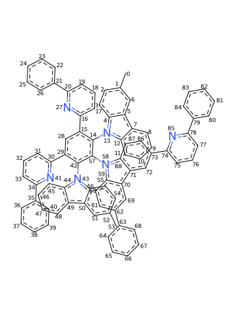 Cc1ccc2c(c1)c1ccccc1n2-c1c(-c2cccc(-c3ccccc3)n2)cc(-c2cccc(-c3ccccc3)n2)c(-n2c3ccccc3c3cc(C)ccc32)c1-n1c2ccc(-c3ccccc3)cc2c2cc(-c3cccc(-c4ccccc4)n3)ccc21